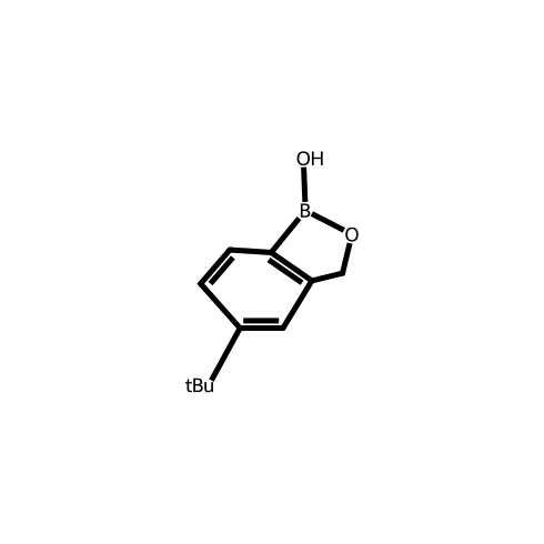 CC(C)(C)c1ccc2c(c1)COB2O